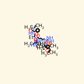 C=CCN(C)C(=O)C(NC(=O)C(CC)NC(=O)C(CCCNC(=N)NS(=O)(=O)c1c(C)c(C)c2c(c1C)CC(C)(C)O2)NC(=O)C(C)(CC=C)NC(=O)O)c1ccccc1